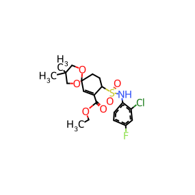 CCOC(=O)C1=CC2(CCC1S(=O)(=O)Nc1ccc(F)cc1Cl)OCC(C)(C)CO2